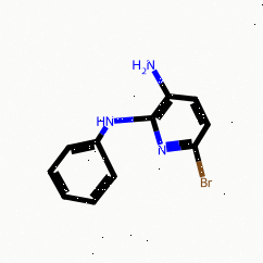 Nc1ccc(Br)nc1Nc1ccccc1